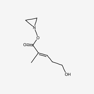 CC(=CCCO)C(=O)ON1CC1